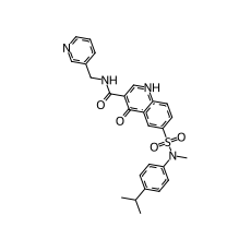 CC(C)c1ccc(N(C)S(=O)(=O)c2ccc3[nH]cc(C(=O)NCc4cccnc4)c(=O)c3c2)cc1